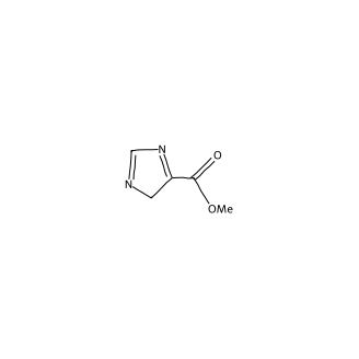 COC(=O)C1=NC=NC1